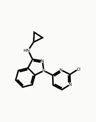 Clc1nccc(-n2nc(NC3CC3)c3ccccc32)n1